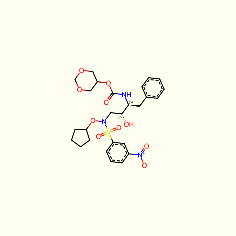 O=C(N[C@@H](Cc1ccccc1)[C@H](O)CN(OC1CCCC1)S(=O)(=O)c1cccc([N+](=O)[O-])c1)OC1COCOC1